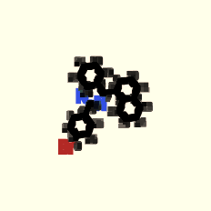 Brc1ccc(-c2nc(-c3cccc4ccccc34)c3ccccc3n2)cc1